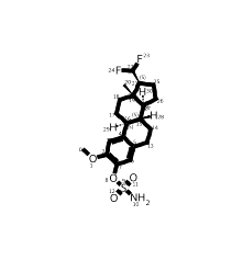 COc1cc2c(cc1OS(N)(=O)=O)CC[C@@H]1[C@@H]2CC[C@]2(C)[C@@H](C(F)F)CC[C@@H]12